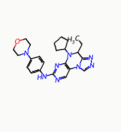 CCC1c2nncn2-c2cnc(Nc3ccc(N4CCOCC4)cc3)nc2N1C1CCCC1